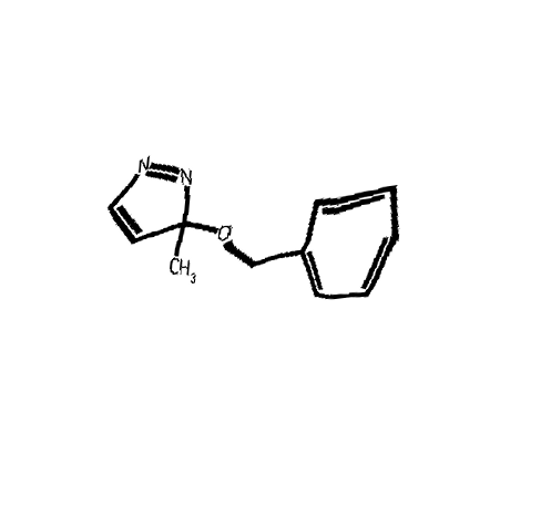 CC1(OCc2ccccc2)C=CN=N1